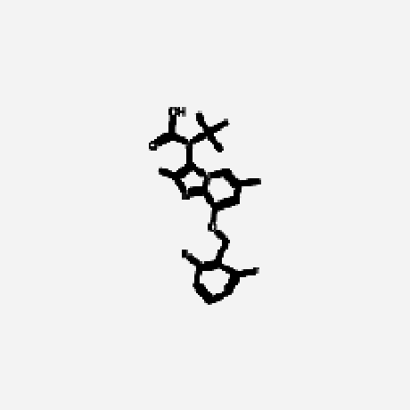 Cc1cc(OCc2c(F)cccc2F)c2nc(C)c(N(C(=O)O)C(C)(C)C)n2c1